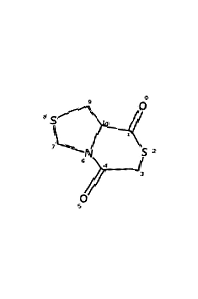 O=C1SCC(=O)N2CSCC12